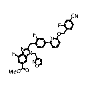 COC(=O)c1cc(F)c2nc(Cc3ccc(-c4cccc(OCc5ccc(C#N)cc5F)n4)cc3F)n(Cc3ccon3)c2c1